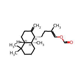 C=C1CC[C@H]2C(C)(C)CCC[C@]2(C)[C@H]1CCC(C)=COC=O